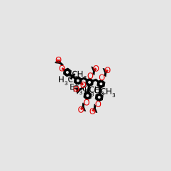 CCc1cc(C(C)(C)c2ccc(OCC3CO3)cc2)cc(Cc2cc(C(C)(C)c3ccc(OCC4CO4)cc3)cc(Cc3cc(C(C)(C)c4ccc(OCC5CO5)cc4)ccc3OCC3CO3)c2OCC2CO2)c1OCC1CO1